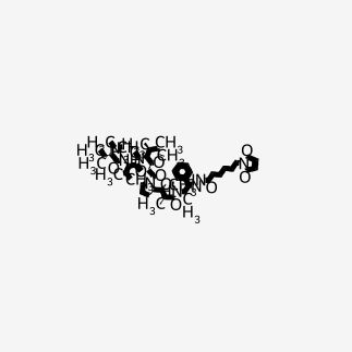 CC[C@H](C)[C@@H]([C@@H](CC(=O)N1CCC[C@H]1[C@H](OC)[C@@H](C)C(=O)N[C@H](C)/C(=N/NC(=O)CCCCCN1C(=O)C=CC1=O)c1ccccc1)OC)N(C)C(=O)[C@@H](NC(=O)[C@H](C(C)C)N(C)C)C(C)C